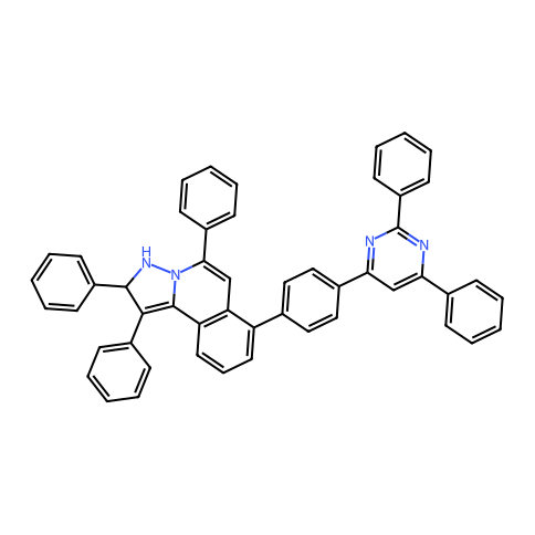 C1=C(c2ccccc2)N2NC(c3ccccc3)C(c3ccccc3)=C2c2cccc(-c3ccc(-c4cc(-c5ccccc5)nc(-c5ccccc5)n4)cc3)c21